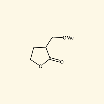 COCC1CCOC1=O